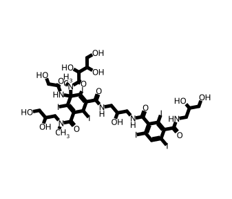 CN(CC(O)CO)C(=O)C1=C(I)C(NC(=O)CO)(N(C)C(=O)C(O)C(O)CO)C(I)=C(C(=O)NCC(O)CNC(=O)c2c(I)cc(I)c(C(=O)NCC(O)CO)c2I)C1I